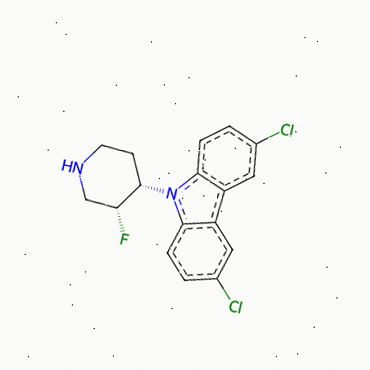 F[C@@H]1CNCC[C@@H]1n1c2ccc(Cl)cc2c2cc(Cl)ccc21